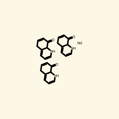 O=C1C=CCC2=CC=CNC12.O=C1C=CCC2=CC=CNC12.O=C1C=CCC2=CC=CNC12.[Nd]